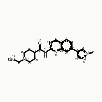 Cn1cc(-c2ccc3cnc(NC(=O)C4CCN(CC(C)(C)C)CC4)nc3c2)cn1